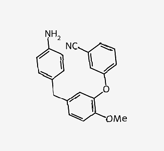 COc1ccc(Cc2ccc(N)cc2)cc1Oc1cccc(C#N)c1